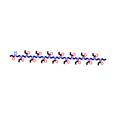 CCCN(CCN(CCN(CCN(CCN(CCN(CCN(CCN(CCN(CCN(CCN(CCN(CCN(CCN(CCN(CCNC(=O)CC)C(=O)CC)C(=O)CC)C(=O)CC)C(=O)CC)C(=O)CC)C(=O)CC)C(=O)CC)C(=O)CC)C(=O)CC)C(=O)CC)C(=O)CC)C(=O)CC)C(=O)CC)C(=O)CC)C(=O)CC